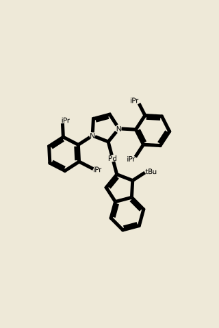 CC(C)c1cccc(C(C)C)c1N1C=CN(c2c(C(C)C)cccc2C(C)C)[CH]1[Pd][C]1=Cc2ccccc2C1C(C)(C)C